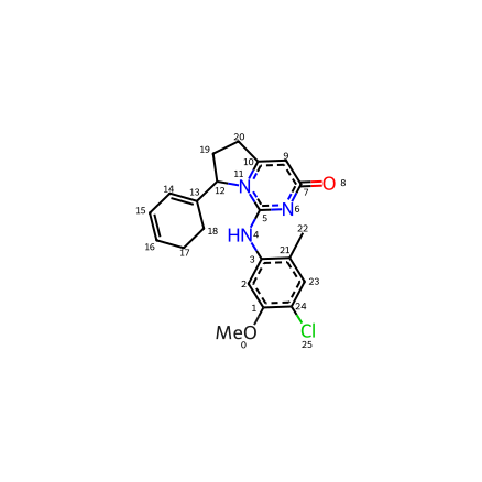 COc1cc(Nc2nc(=O)cc3n2C(C2=CC=CCC2)CC3)c(C)cc1Cl